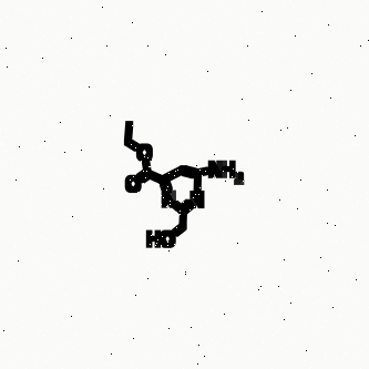 CCOC(=O)c1cc(N)nc(CO)n1